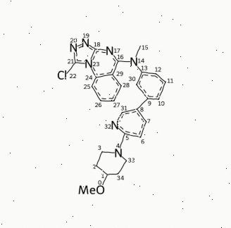 COC1CCN(c2ccc(-c3cccc(N(C)c4nc5nnc(Cl)n5c5ccccc45)c3)cn2)CC1